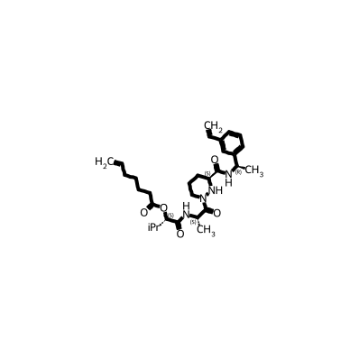 C=CCCCCC(=O)O[C@H](C(=O)N[C@@H](C)C(=O)N1CCC[C@@H](C(=O)N[C@H](C)c2cccc(C=C)c2)N1)C(C)C